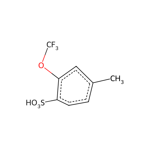 Cc1ccc(S(=O)(=O)O)c(OC(F)(F)F)c1